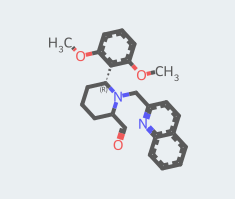 COc1cccc(OC)c1[C@H]1CCCC(C=O)N1Cc1ccc2ccccc2n1